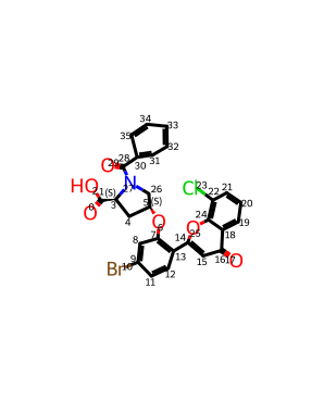 O=C(O)[C@@H]1C[C@H](Oc2cc(Br)ccc2-c2cc(=O)c3cccc(Cl)c3o2)CN1C(=O)c1ccccc1